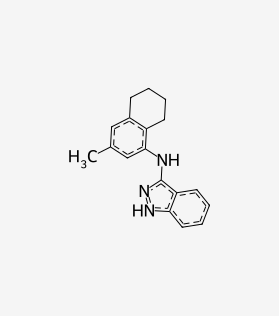 Cc1cc2c(c(Nc3n[nH]c4ccccc34)c1)CCCC2